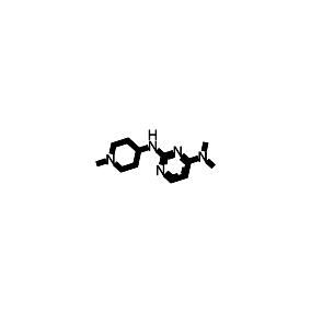 CN1CCC(Nc2nccc(N(C)C)n2)CC1